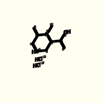 CC(O)C1CNCC(C)N1C.Cl.Cl